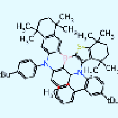 CC1=CC2=C3B(c4cc5c(cc4N2c2ccc(C(C)(C)C)cc2)C(C)(C)CCC5(C)C)c2sc4c(c2N(c2ccc(C(C)(C)C)cc2-c2ccccc2)C3C1)C(C)(C)CCC4(C)C